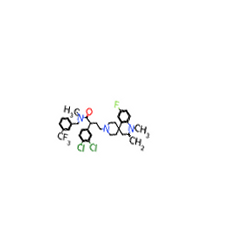 C=C1CC2(CCN(CCC(C(=O)N(C)Cc3cccc(C(F)(F)F)c3)c3ccc(Cl)c(Cl)c3)CC2)c2cc(F)ccc2N1C